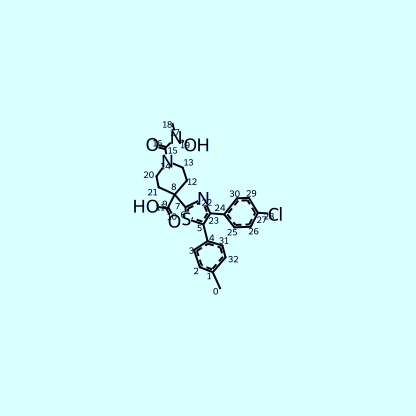 Cc1ccc(-c2sc(C3(C(=O)O)CCN(C(=O)N(C)O)CC3)nc2-c2ccc(Cl)cc2)cc1